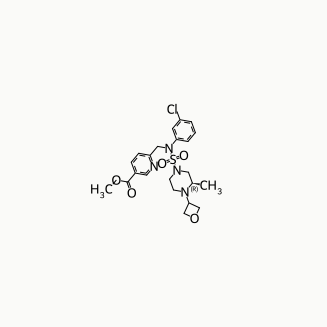 COC(=O)c1ccc(CN(c2cccc(Cl)c2)S(=O)(=O)N2CCN(C3COC3)[C@H](C)C2)nc1